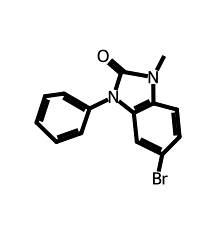 Cn1c(=O)n(-c2ccccc2)c2cc(Br)ccc21